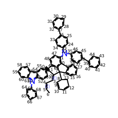 C#C/C(=C\C=C/C)C1(C2C=CC=CC2)c2ccccc2-c2c(N(c3ccc(-c4ccccc4)cc3)c3ccc(-c4ccccc4)cc3)ccc(-c3ccc4c(c3)c3ccccc3n4-c3ccccc3)c21